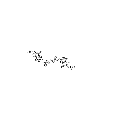 O=C(CCC(=O)ON1C(=O)CC(S(=O)(=O)O)C1=O)OCCOC(=O)CCC(=O)ON1C(=O)CC(S(=O)(=O)O)C1=O